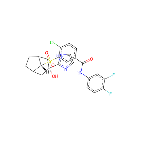 O=C(Nc1ccc(F)c(F)c1)c1ccc(Cl)c(S(=O)(=O)[C@H]2C3CCC2C[C@](O)(c2ncc[nH]2)C3)c1